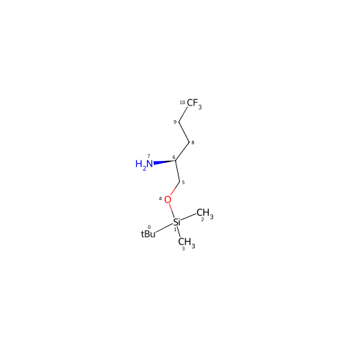 CC(C)(C)[Si](C)(C)OC[C@@H](N)CCC(F)(F)F